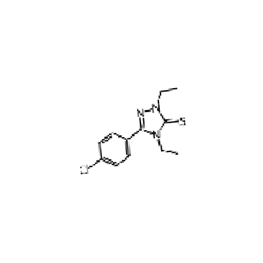 CCn1nc(-c2ccc(Cl)cc2)n(CC)c1=S